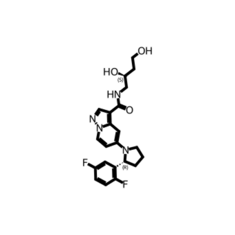 O=C(NC[C@@H](O)CCO)c1cnn2ccc(N3CCC[C@@H]3c3cc(F)ccc3F)cc12